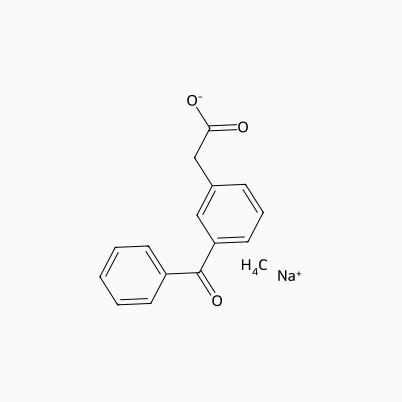 C.O=C([O-])Cc1cccc(C(=O)c2ccccc2)c1.[Na+]